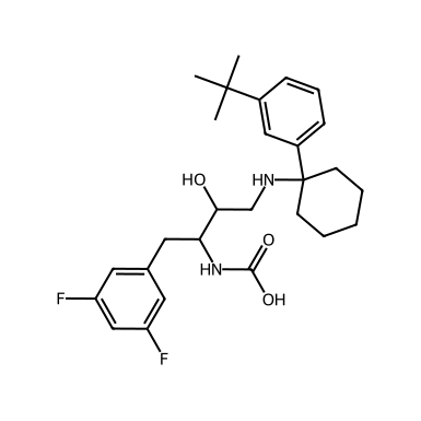 CC(C)(C)c1cccc(C2(NCC(O)C(Cc3cc(F)cc(F)c3)NC(=O)O)CCCCC2)c1